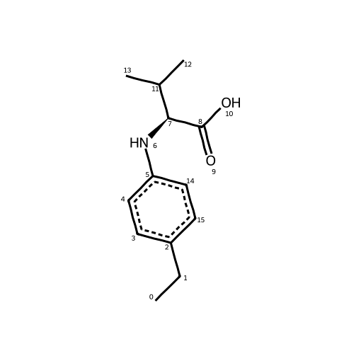 CCc1ccc(N[C@H](C(=O)O)C(C)C)cc1